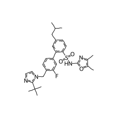 Cc1nc(NS(=O)(=O)c2ccc(CC(C)C)cc2-c2ccc(Cn3ccnc3C(C)(C)C)c(F)c2)oc1C